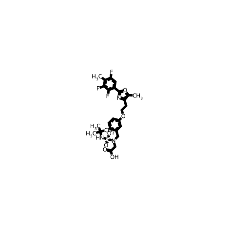 Cc1oc(-c2cc(F)c(C)c(F)c2F)nc1CCOc1cccc(CN(CC(=O)O)S(=O)(=O)NC(C)(C)C)c1